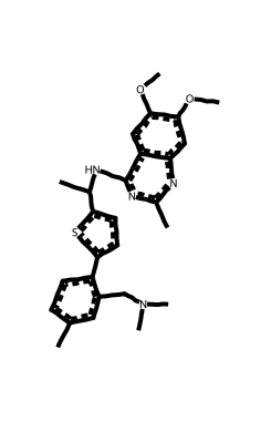 COc1cc2nc(C)nc(NC(C)c3ccc(-c4ccc(C)cc4CN(C)C)s3)c2cc1OC